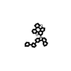 c1ccc(-c2cccc(-c3ccc4c(c3)c3c5ccccc5ccc3n4-c3cc4ccc5oc6cccc7c6c5c4c4c3oc3cccc-7c34)c2)cc1